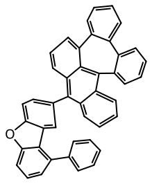 c1ccc(-c2cccc3oc4ccc(-c5c6ccccc6c6c7c(cccc57)-c5ccccc5-c5ccccc5-6)cc4c23)cc1